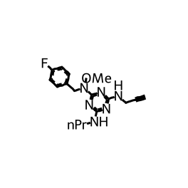 C#CCNc1nc(NCCC)nc(N(Cc2ccc(F)cc2)OC)n1